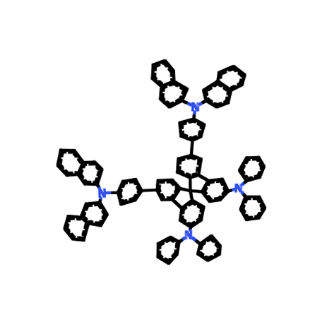 c1ccc(N(c2ccccc2)c2ccc3c(c2)-c2cc(-c4ccc(N(c5ccc6ccccc6c5)c5ccc6ccccc6c5)cc4)ccc2C32c3ccc(-c4ccc(N(c5ccc6ccccc6c5)c5ccc6ccccc6c5)cc4)cc3-c3cc(N(c4ccccc4)c4ccccc4)ccc32)cc1